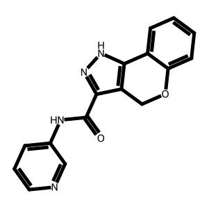 O=C(Nc1cccnc1)c1n[nH]c2c1COc1ccccc1-2